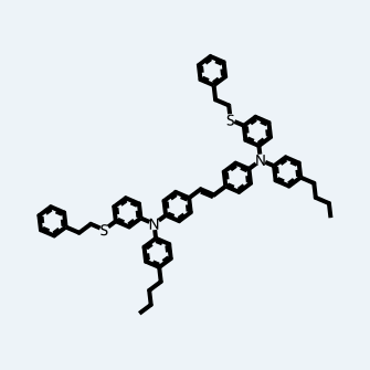 CCCCc1ccc(N(c2ccc(C=Cc3ccc(N(c4ccc(CCCC)cc4)c4cccc(SCCc5ccccc5)c4)cc3)cc2)c2cccc(SCCc3ccccc3)c2)cc1